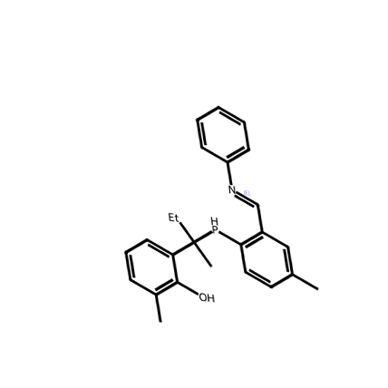 CCC(C)(Pc1ccc(C)cc1/C=N/c1ccccc1)c1cccc(C)c1O